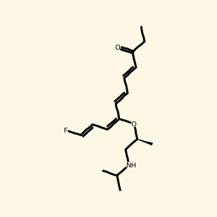 CCC(=O)/C=C/C=C/C(=C\C=C\F)O[C@@H](C)CNC(C)C